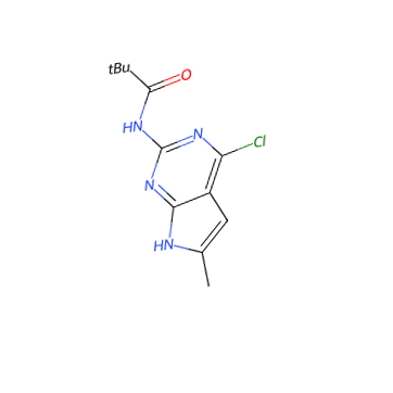 Cc1cc2c(Cl)nc(NC(=O)C(C)(C)C)nc2[nH]1